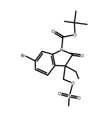 CCC1(COS(C)(=O)=O)C(=O)N(C(=O)OC(C)(C)C)c2cc(Br)ccc21